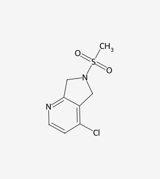 CS(=O)(=O)N1Cc2nccc(Cl)c2C1